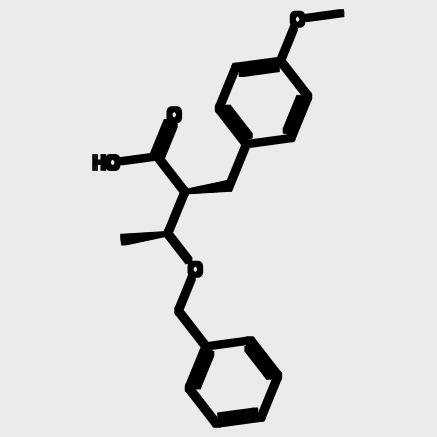 COc1ccc(C[C@H](C(=O)O)[C@H](C)OCc2ccccc2)cc1